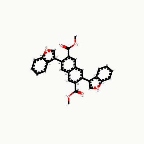 COC(=O)c1cc2cc(-c3coc4ccccc34)c(C(=O)OC)cc2cc1-c1coc2ccccc12